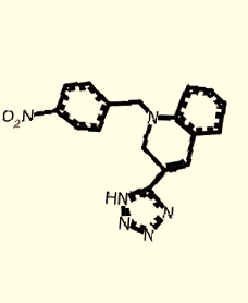 O=[N+]([O-])c1ccc(CN2CC(c3nnn[nH]3)=Cc3ccccc32)cc1